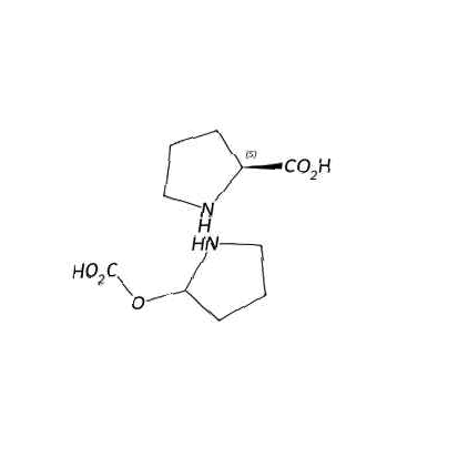 O=C(O)OC1CCCN1.O=C(O)[C@@H]1CCCN1